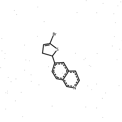 BrC1=CCC(c2ccc3cnccc3c2)S1